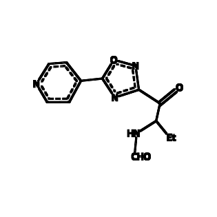 CCC(NC=O)C(=O)c1noc(-c2ccncc2)n1